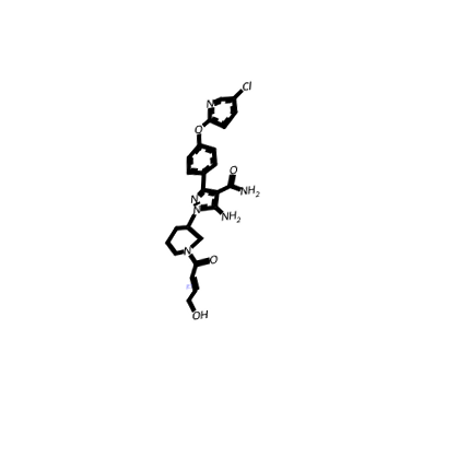 NC(=O)c1c(-c2ccc(Oc3ccc(Cl)cn3)cc2)nn(C2CCCN(C(=O)/C=C/CO)C2)c1N